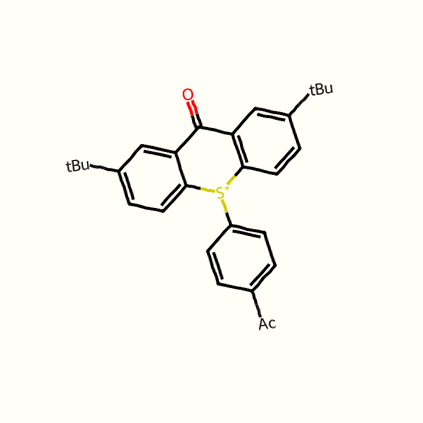 CC(=O)c1ccc(-[s+]2c3ccc(C(C)(C)C)cc3c(=O)c3cc(C(C)(C)C)ccc32)cc1